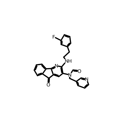 O=CN(Cc1cccnc1)c1cc2c(nc1NCCc1cccc(F)c1)-c1ccccc1C2=O